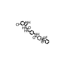 O=C(Nc1ccc(NC(=O)C2CCN(S(=O)(=O)c3ccccc3F)CC2)cc1)Nc1c[nH]c2ccc(Cl)cc12